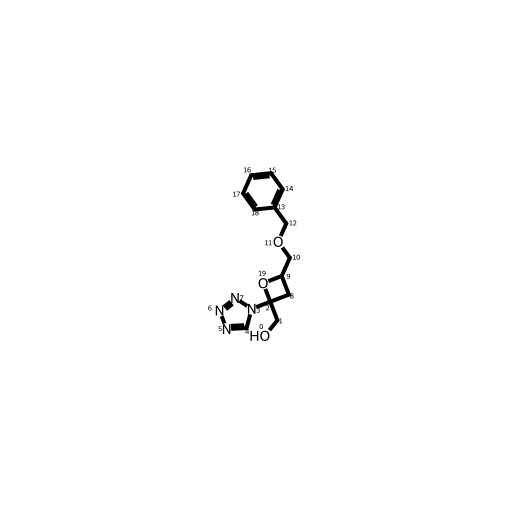 OCC1(n2cnnn2)CC(COCc2ccccc2)O1